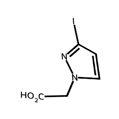 O=C(O)Cn1ccc(I)n1